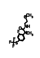 COCCNC(=O)N(C)c1ccc(SC(F)(F)F)cc1F